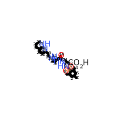 Cc1cc(C)c(S(=O)(=O)N[C@@H](CNC(=O)c2ccn(CCc3ccc4c(n3)NCCC4)n2)C(=O)O)c(C)c1